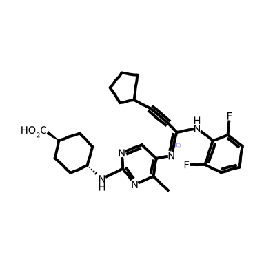 Cc1nc(N[C@H]2CC[C@H](C(=O)O)CC2)ncc1/N=C(\C#CC1CCCC1)Nc1c(F)cccc1F